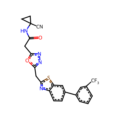 N#CC1(NC(=O)Cc2nnc(Cc3nc4ccc(-c5cccc(C(F)(F)F)c5)cc4s3)o2)CC1